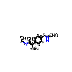 C/C=N\C(C)=C(/CCCC)c1ccc(CNC=O)cc1